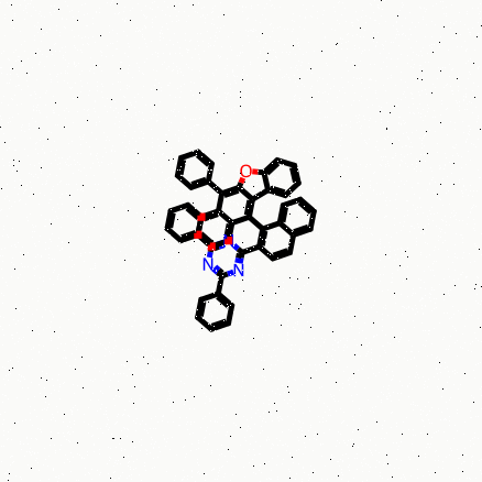 c1ccc(-c2nc(-c3ccccc3)nc(-c3ccc4ccccc4c3-c3c4ccccc4c(-c4ccccc4)c4oc5ccccc5c34)n2)cc1